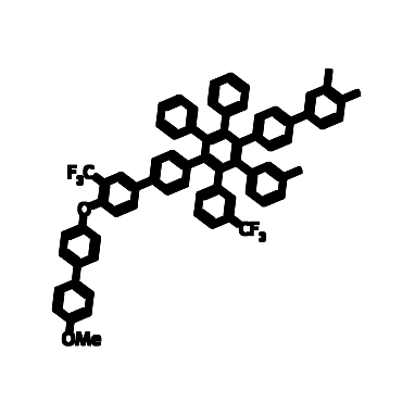 COc1ccc(-c2ccc(Oc3ccc(-c4ccc(-c5c(-c6ccccc6)c(-c6ccccc6)c(-c6ccc(-c7ccc(C)c(C)c7)cc6)c(-c6cccc(C)c6)c5-c5cccc(C(F)(F)F)c5)cc4)cc3C(F)(F)F)cc2)cc1